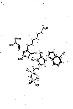 CCCCC[C@H](O)/C=C/[C@H]1[C@H](O)CC(=O)[C@@H]1CCCCCCC(=O)O.Nc1ncnc2c1ncn2[C@@H]1O[C@H](COP(=O)(O)OP(=O)(O)O)[C@@H](O)[C@H]1O